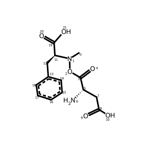 CN(OC(=O)[C@@H](N)CC(=O)O)[C@@H](Cc1ccccc1)C(=O)O